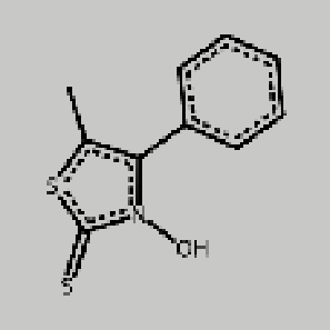 Cc1sc(=S)n(O)c1-c1ccccc1